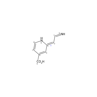 N=C/C=C1/C=C(C(=O)O)C=CN1